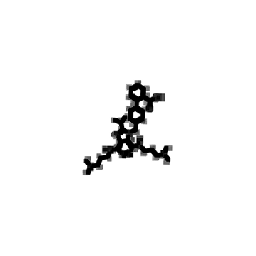 CC(C)c1nc2c(NCCCN(C)C)nnc(NCCCN(C)C)c2n1Cc1ccc(-c2ccccc2C(=O)O)cc1